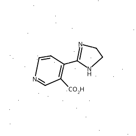 O=C(O)c1cnccc1C1=NCCN1